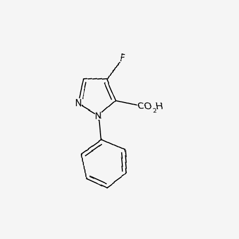 O=C(O)c1c(F)cnn1-c1ccccc1